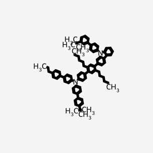 CCCCCCc1cc(-c2ccc3c4ccccc4n(-c4ccc(-c5cccc(C(C)(C)C)c5)cc4)c3c2)c(CCCCCC)cc1-c1ccc(N(c2ccc(-c3ccc(CCC)cc3)cc2)c2ccc(-c3ccc(C(C)(C)C)cc3)cc2)cc1